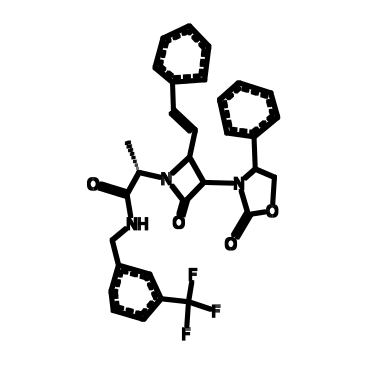 C[C@@H](C(=O)NCc1cccc(C(F)(F)F)c1)N1C(=O)C(N2C(=O)OCC2c2ccccc2)C1/C=C/c1ccccc1